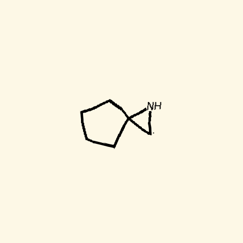 [CH]1NC12CCCC2